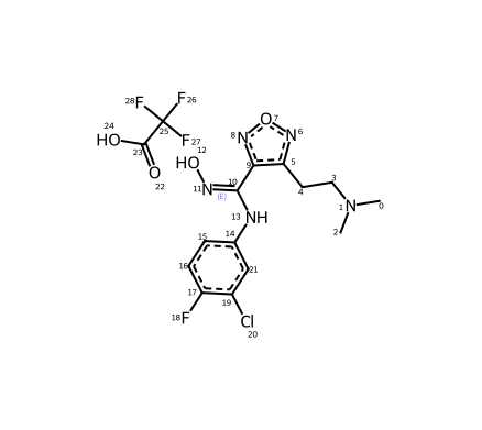 CN(C)CCc1nonc1/C(=N\O)Nc1ccc(F)c(Cl)c1.O=C(O)C(F)(F)F